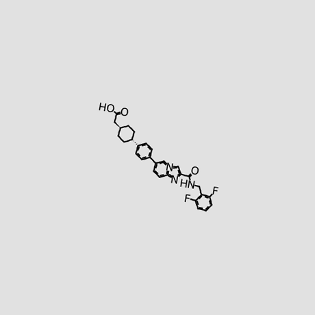 O=C(O)C[C@H]1CC[C@H](c2ccc(-c3ccc4nc(C(=O)NCc5c(F)cccc5F)cn4c3)cc2)CC1